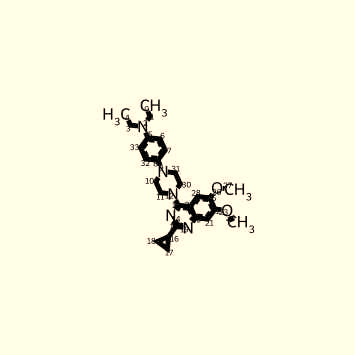 CCN(CC)c1ccc(N2CCN(c3nc(C4CC4)nc4cc(OC)c(OC)cc34)CC2)cc1